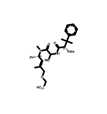 CN[C@H](C(=O)NC(C(=O)N(C)[C@H](/C=C(\C)COCC(=O)O)C(C)C)C(C)(C)C)C(C)(C)c1ccccc1